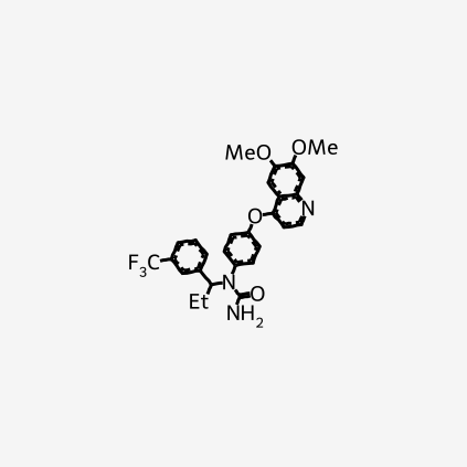 CCC(c1cccc(C(F)(F)F)c1)N(C(N)=O)c1ccc(Oc2ccnc3cc(OC)c(OC)cc23)cc1